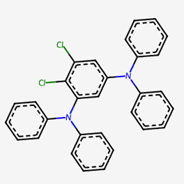 Clc1cc(N(c2ccccc2)c2ccccc2)cc(N(c2ccccc2)c2ccccc2)c1Cl